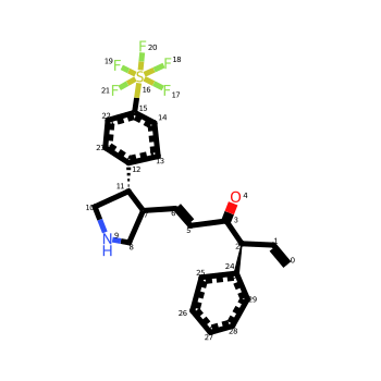 C=C[C@H](C(=O)C=CC1CNC[C@@H]1c1ccc(S(F)(F)(F)(F)F)cc1)c1ccccc1